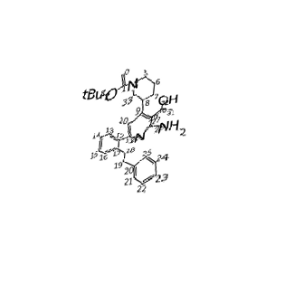 C=C(OC(C)(C)C)N1CCCC(c2cc(-c3ccccc3CCc3ccccc3)nc(N)c2C(C)O)C1